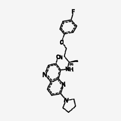 C[C@H](CCOc1ccc(F)cc1)Nc1c(C#N)cnc2ccc(N3CCCC3)nc12